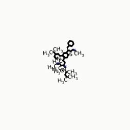 C/C=C\C(C)/C(=C\N(C)C(C)CC(C)C)CC(C)C1=C(c2cc(C(C)C)ccn2)C=C2C(C1)SC(/C=C\C)[C@@H]2CC1=CCCCC1